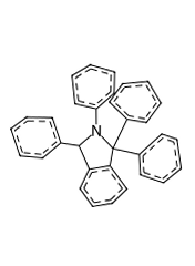 c1ccc(C2c3ccccc3C(c3ccccc3)(c3ccccc3)N2c2ccccc2)cc1